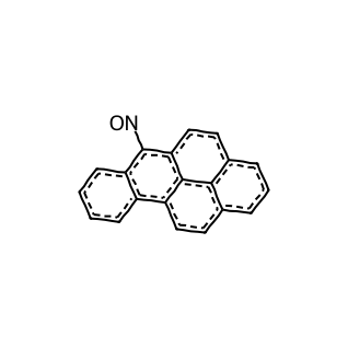 O=Nc1c2ccccc2c2ccc3cccc4ccc1c2c43